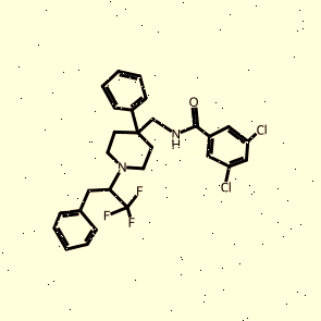 O=C(NCC1(c2ccccc2)CCN(C(Cc2ccccc2)C(F)(F)F)CC1)c1cc(Cl)cc(Cl)c1